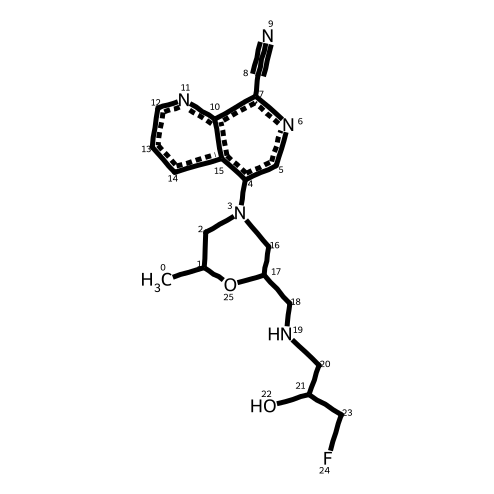 CC1CN(c2cnc(C#N)c3ncccc23)CC(CNCC(O)CF)O1